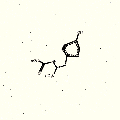 CCCCCCCCC(=O)NC(Cc1c#cc(O)cc1)C(=O)O